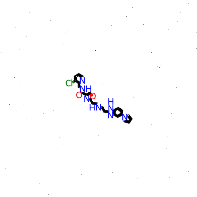 O=C(NCc1ncccc1Cl)c1coc(CCNCCc2nc3cc(-n4cccc4)ccc3[nH]2)n1